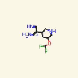 N=C/C(=C\N)C1CNCC(OC(F)F)C1